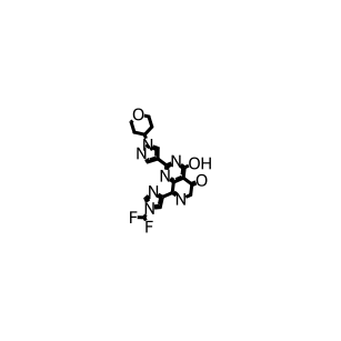 O=C1CN=C(c2cn(C(F)F)cn2)c2nc(-c3cnn(C4CCOCC4)c3)nc(O)c21